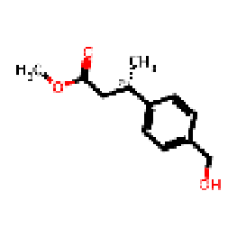 COC(=O)C[C@H](C)c1ccc(CO)cc1